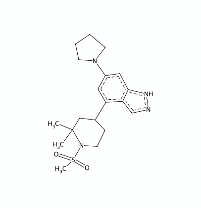 CC1(C)CC(c2cc(N3CCCC3)cc3[nH]ncc23)CCN1S(C)(=O)=O